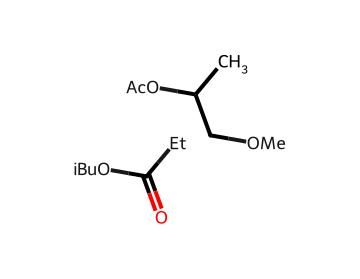 CCC(=O)OCC(C)C.COCC(C)OC(C)=O